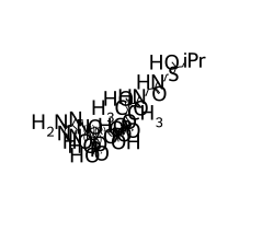 CC(C)CC(O)SCCNC(=O)CCNC(=O)[C@H](O)C(C)(C)COP(=O)(O)OP(=O)(O)OC[C@H]1O[C@@H](n2cnc3c(N)ncnc32)[C@H](O)[C@@H]1OP(=O)(O)O